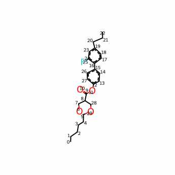 CCCCCC1OCC(C(=O)Oc2ccc(-c3ccc(CCC)cc3F)cc2)CO1